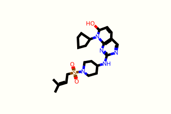 CC(C)=CCS(=O)(=O)N1CCC(Nc2ncc3c(n2)N(C2CCCC2)C(O)C=C3)CC1